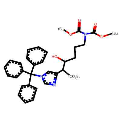 CCOC(=O)C(c1cn(C(c2ccccc2)(c2ccccc2)c2ccccc2)cn1)C(O)CCCN(C(=O)OC(C)(C)C)C(=O)OC(C)(C)C